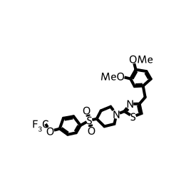 COc1ccc(Cc2csc(N3CCC(S(=O)(=O)c4ccc(OC(F)(F)F)cc4)CC3)n2)cc1OC